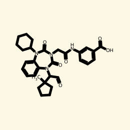 CC1(C(C=O)N2C(=O)N(CC(=O)Nc3cccc(C(=O)O)c3)C(=O)N(C3CCCCC3)c3ccccc32)CCCC1